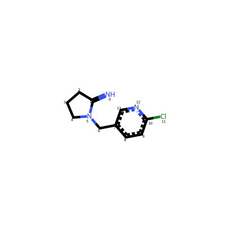 N=C1CCCN1Cc1ccc(Cl)nc1